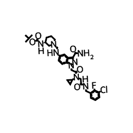 CC(C)(C)OC(=O)N[C@@H]1CCCN(CNc2ccc3c(c2)c(C(N)=O)nn3CC(=O)N(CC(=O)NCc2cccc(Cl)c2F)C2CC2)C1